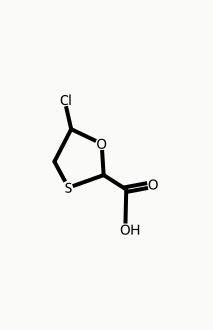 O=C(O)C1OC(Cl)CS1